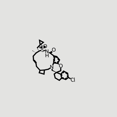 C[C@H]1C/C=C/CC2CCC2CN2C[C@@]3(CCCc4cc(Cl)ccc43)COc3ccc(cc32)C(=O)NS(=O)(=O)[C@H]1CC1CC1